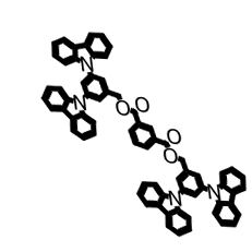 O=C(OCc1cc(-n2c3ccccc3c3ccccc32)cc(-n2c3ccccc3c3ccccc32)c1)c1cccc(C(=O)OCc2cc(-n3c4ccccc4c4ccccc43)cc(-n3c4ccccc4c4ccccc43)c2)c1